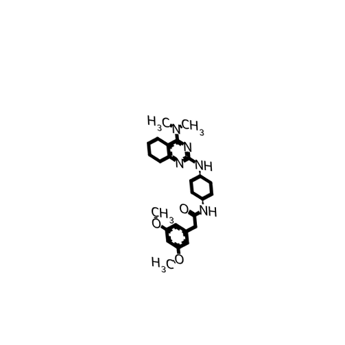 COc1cc(CC(=O)N[C@H]2CC[C@@H](Nc3nc4c(c(N(C)C)n3)CCCC4)CC2)cc(OC)c1